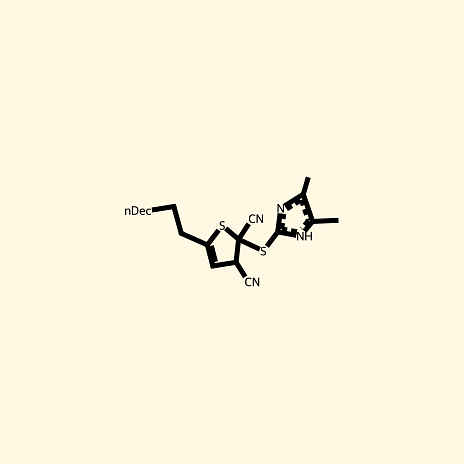 CCCCCCCCCCCCC1=CC(C#N)C(C#N)(Sc2nc(C)c(C)[nH]2)S1